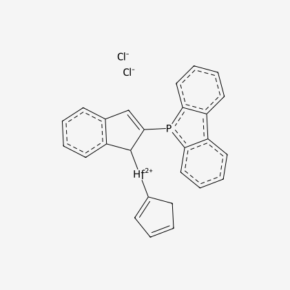 C1=CC[C]([Hf+2][CH]2C(p3c4ccccc4c4ccccc43)=Cc3ccccc32)=C1.[Cl-].[Cl-]